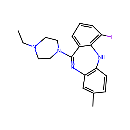 CCN1CCN(C2=Nc3cc(C)ccc3Nc3c(I)cccc32)CC1